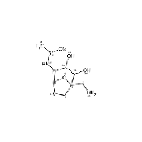 NCC12COC(O1)C(N[S+]([O-])C(F)(F)F)C(O)C2O